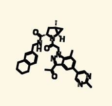 CC(=O)c1nn(CC(=O)N2[C@H](C(=O)NCc3ccc4c(c3)CCCC4)C[C@@]3(C)C[C@@H]23)c2c(C)cc(-c3cnc(C)nc3)cc12